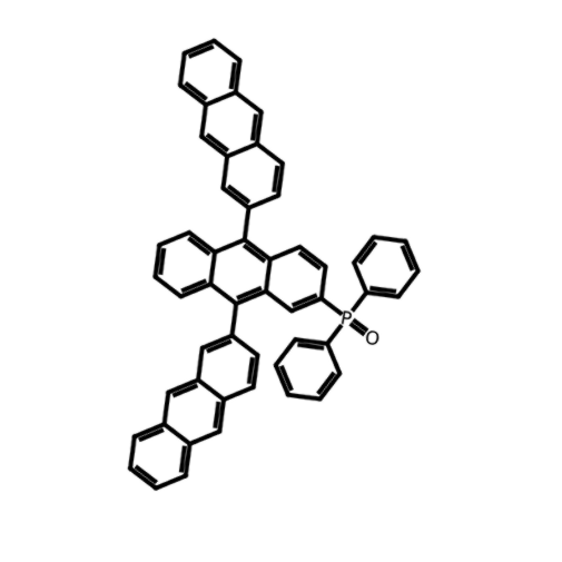 O=P(c1ccccc1)(c1ccccc1)c1ccc2c(-c3ccc4cc5ccccc5cc4c3)c3ccccc3c(-c3ccc4cc5ccccc5cc4c3)c2c1